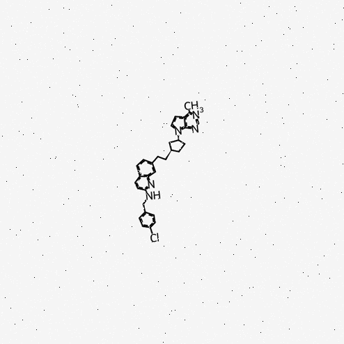 Cc1ncnc2c1ccn2[C@H]1CC[C@@H](CCc2ccc3ccc(NCc4ccc(Cl)cc4)nc3c2)C1